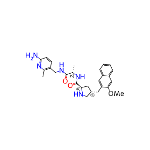 COc1cc2ccccc2cc1C[C@@H]1CN[C@@H](C(=O)N[C@@H](C)C(=O)NCc2ccc(N)nc2C)C1